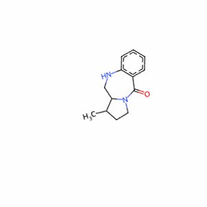 CC1CCN2C(=O)c3ccccc3NCC12